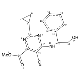 COC(=O)c1nc(C2CC2)nc(NC(CO)c2ccccc2)c1Cl